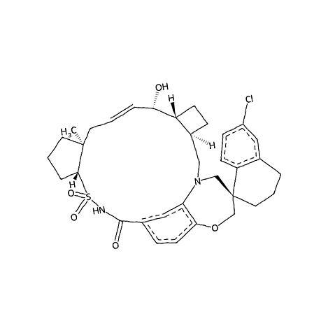 C[C@]12C/C=C/[C@H](O)[C@@H]3CC[C@H]3CN3C[C@@]4(CCCc5cc(Cl)ccc54)COc4ccc(cc43)C(=O)NS(=O)(=O)[C@@H]1CCC2